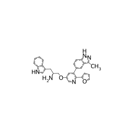 Cc1n[nH]c2ccc(-c3cc(OC[C@@H](N)Cc4c[nH]c5ccccc45)cnc3-c3ccco3)cc12